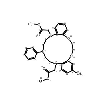 COC(=O)CN1CCN(c2ccccc2)CCN(CC(=O)OC)c2ccc(C)cc2OCCOc2ccccc21